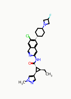 CC[C@@H]1[C@@H](C(=O)Nc2cc3cc([C@H]4CC[C@H](N5CC(F)C5)CC4)c(Cl)cc3cn2)[C@@H]1c1cnn(C)c1